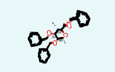 C[C@@H]1C(COCc2ccccc2)O[C@H](C)[C@@H](OCc2ccccc2)[C@H]1OCc1ccccc1